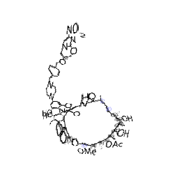 CO[C@H]1/C=C/O[C@@]2(C)Oc3c(C)c(O)c4c(=O)c(c5oc6cc(N7CCN(Cc8ccc(CO[C@@H]9COc%10nc([N+](=O)[O-])cn%10C9)cc8)CC7)cc(O)c6nc-5c4c3C2=O)NC(=O)/C(C)=C\C=C\[C@H](C)[C@H](O)[C@@H](C)[C@@H](O)[C@@H](C)[C@H](OC(C)=O)[C@@H]1C